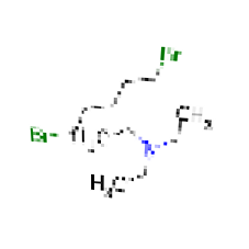 BrCCCCCBr.CCN(CC)CC